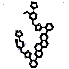 C#C/C=C(\C=C/Cc1cnco1)Cc1ncc(-c2ccccc2-c2ccc3c(ccc4c5ccc(-c6ccccc6-c6cnc(Cc7ccc(-c8cnco8)c(OC)c7)o6)cc5ccc34)c2)o1